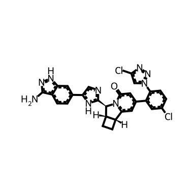 Nc1n[nH]c2cc(-c3cnc([C@@H]4[C@H]5CC[C@H]5c5cc(-c6cc(Cl)ccc6-n6cc(Cl)nn6)cc(=O)n54)[nH]3)ccc12